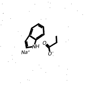 CCC(=O)[O-].[Na+].c1ccc2[nH]ccc2c1